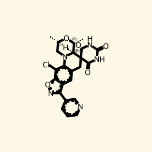 C[C@H]1CN2c3c(cc4c(-c5cccnc5)noc4c3Cl)CC3(C(=O)NC(=O)NC3=O)[C@@H]2[C@@H](C)O1